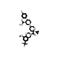 COc1cc(C(F)(F)F)cc2c1OCN(C(=O)[C@@]1(C3CC3)CC[C@@H](N3CC[C@@H](c4ccc(F)cc4)[C@H](C(=O)O)C3)CO1)C2